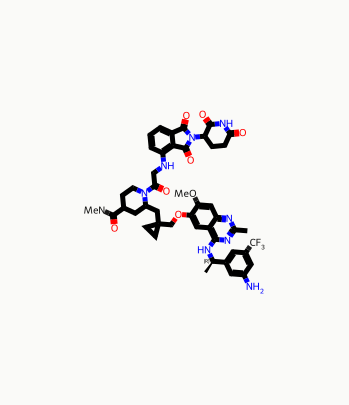 CNC(=O)C1CCN(C(=O)CNc2cccc3c2C(=O)N(C2CCC(=O)NC2=O)C3=O)C(CC2(COc3cc4c(N[C@H](C)c5cc(N)cc(C(F)(F)F)c5)nc(C)nc4cc3OC)CC2)C1